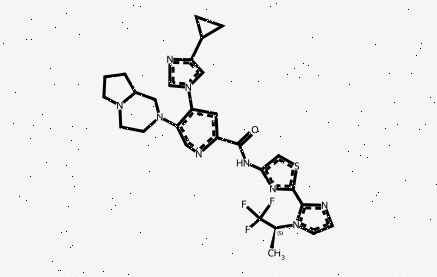 C[C@H](n1ccnc1-c1nc(NC(=O)c2cc(-n3cnc(C4CC4)c3)c(N3CCN4CCCC4C3)cn2)cs1)C(F)(F)F